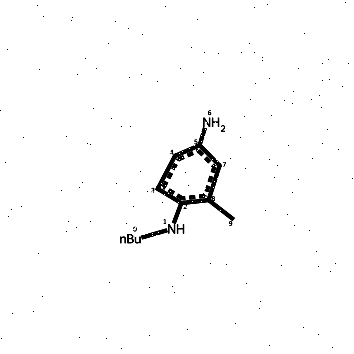 CCCCNc1ccc(N)cc1C